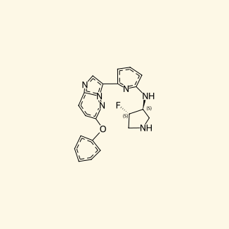 F[C@H]1CNC[C@@H]1Nc1cccc(-c2cnc3ccc(Oc4ccccc4)nn23)n1